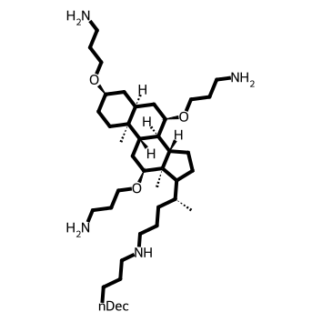 CCCCCCCCCCCCCNCCC[C@@H](C)C1CC[C@H]2[C@@H]3[C@H](OCCCN)C[C@@H]4C[C@H](OCCCN)CC[C@]4(C)[C@H]3C[C@H](OCCCN)[C@]12C